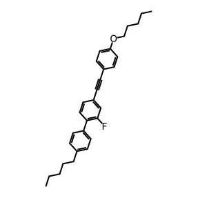 CCCCCOc1ccc(C#Cc2ccc(-c3ccc(CCCCC)cc3)c(F)c2)cc1